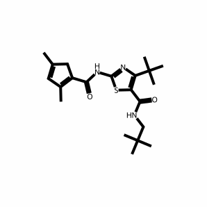 CC1=CC(C)=C(C(=O)Nc2nc(C(C)(C)C)c(C(=O)NCC(C)(C)C)s2)C1